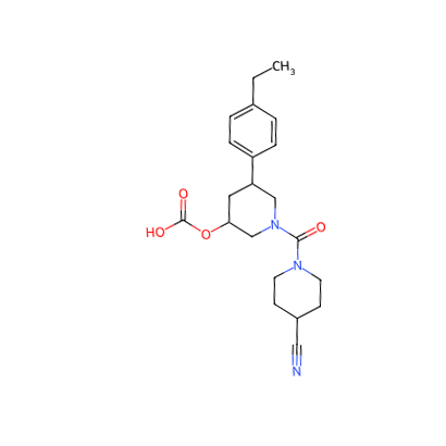 CCc1ccc(C2CC(OC(=O)O)CN(C(=O)N3CCC(C#N)CC3)C2)cc1